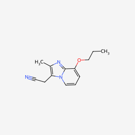 CCCOc1cccn2c(CC#N)c(C)nc12